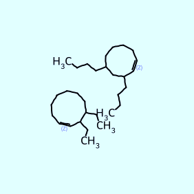 CCC1/C=C\CCCCCCC1CC.CCCCC1/C=C\CCCCC(CCCC)C1